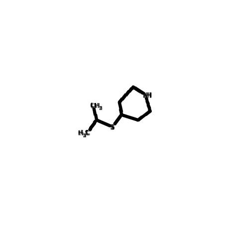 CC(C)SC1CCNCC1